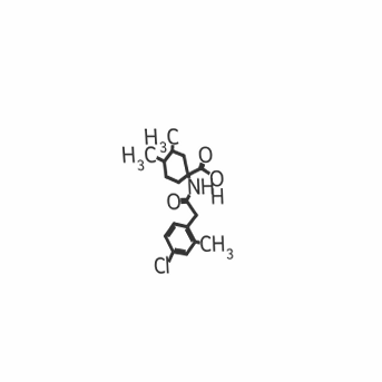 Cc1cc(Cl)ccc1CC(=O)NC1(C(=O)O)CCC(C)C(C)C1